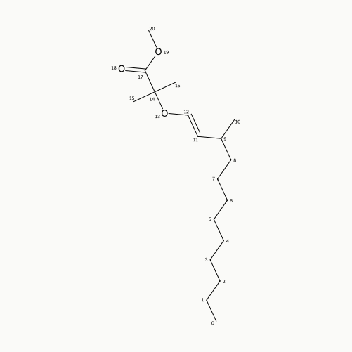 CCCCCCCCCC(C)C=COC(C)(C)C(=O)OC